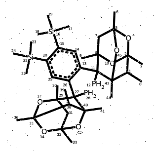 CC1C2(C)OC3(C)CC(C)(O2)C(P)(c2cc([Si](C)(C)C)c([Si](C)(C)C)cc2C2(P)C4(C)CC5(C)OC(C)(O4)C(C)C2(C)O5)C1(C)O3